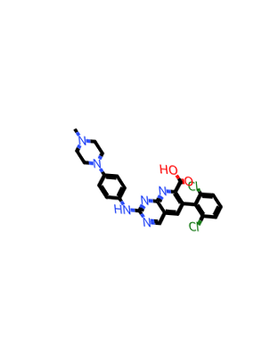 CN1CCN(c2ccc(Nc3ncc4cc(-c5c(Cl)cccc5Cl)c(C(=O)O)nc4n3)cc2)CC1